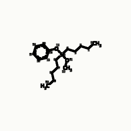 CCCCC[Si](CCCCC)(OC)Oc1ccccc1